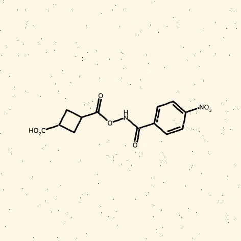 O=C(NOC(=O)C1CC(C(=O)O)C1)c1ccc([N+](=O)[O-])cc1